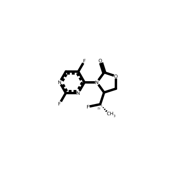 C[C@H](F)C1COC(=O)N1c1nc(F)ncc1F